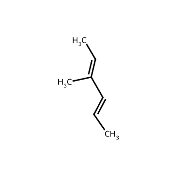 C/C=C/C(C)=C/C